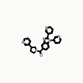 O=C(c1ccc2c(c1)nc(-c1cccnc1)n2-c1cccnc1)N1CCC(c2cccnc2)C1